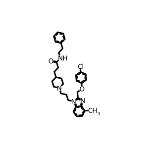 Cc1cccc2c1nc(COc1ccc(Cl)cc1)n2CCCN1CCC(CCC(=O)NCCc2ccccc2)CC1